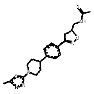 CC(=O)NCC1CC(c2ccc(C3CCN(c4nnc(C)s4)CC3)cc2)=NO1